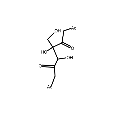 CC(=O)CC(=O)C(O)C(O)(CO)C(=O)CC(C)=O